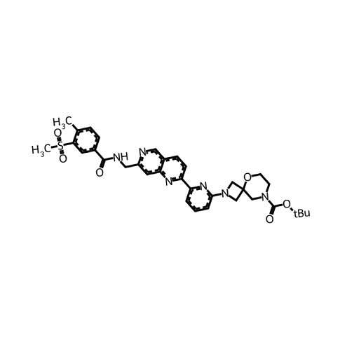 Cc1ccc(C(=O)NCc2cc3nc(-c4cccc(N5CC6(CN(C(=O)OC(C)(C)C)CCO6)C5)n4)ccc3cn2)cc1S(C)(=O)=O